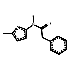 Cc1ccc(N(C)C(=O)Cc2ccccc2)s1